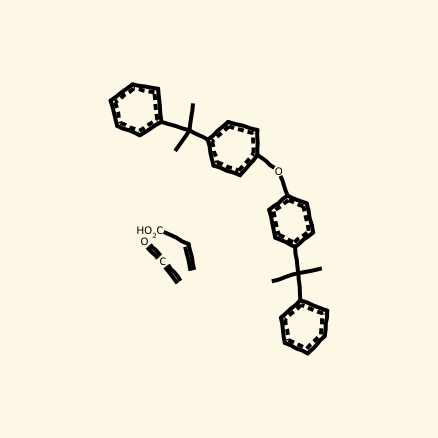 C=C=O.C=CC(=O)O.CC(C)(c1ccccc1)c1ccc(Oc2ccc(C(C)(C)c3ccccc3)cc2)cc1